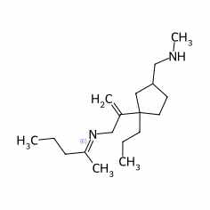 C=C(C/N=C(\C)CCC)C1(CCC)CCC(CNC)C1